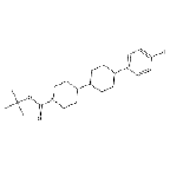 CC(C)(C)OC(=O)N1CCC(C2CCC(c3ccc(I)cc3)CC2)CC1